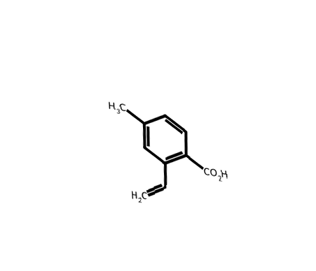 C=Cc1cc(C)ccc1C(=O)O